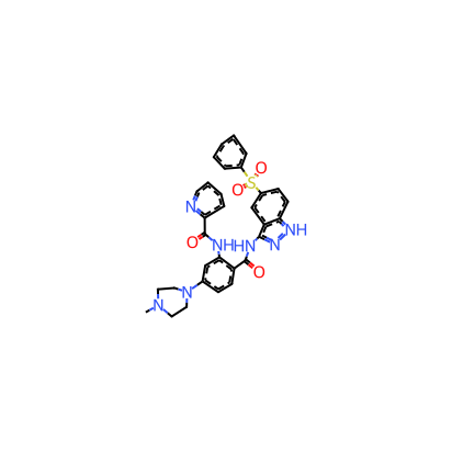 CN1CCN(c2ccc(C(=O)Nc3n[nH]c4ccc(S(=O)(=O)c5ccccc5)cc34)c(NC(=O)c3ccccn3)c2)CC1